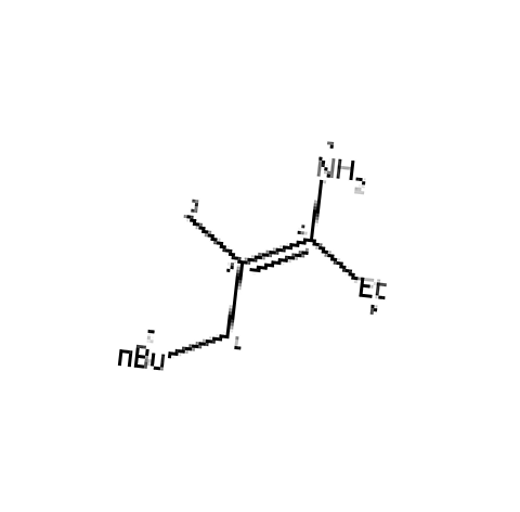 CCCCC/C(C)=C(/N)CC